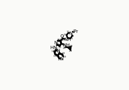 CC(C)N1CCC(NC(=O)c2cnc(Nc3ccc4cnccc4n3)cc2NCC2CC2)CC1